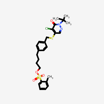 Cc1ccccc1S(=O)(=O)OCCCCc1ccc(CSc2cnn(C(C)(C)C)c(=O)c2Cl)cc1